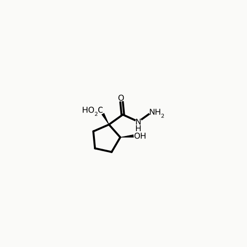 NNC(=O)[C@@]1(C(=O)O)CCC[C@@H]1O